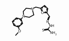 COc1cccc(N2CCN(Cc3ccc(C=NNC(N)=S)o3)CC2)c1